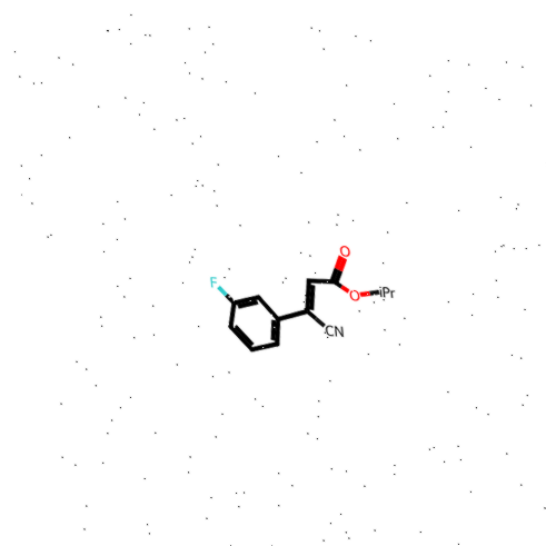 CC(C)OC(=O)C=C(C#N)c1cccc(F)c1